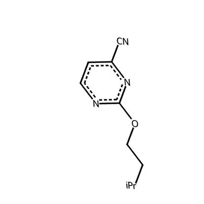 CC(C)CCOc1nccc(C#N)n1